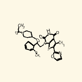 COc1ccccc1C(Cn1c(=O)[nH]c(=O)c2c(C)c(-c3ncco3)sc21)OC1CCN(C(C)=O)CC1